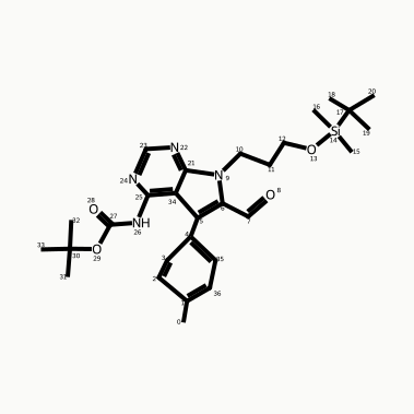 Cc1ccc(-c2c(C=O)n(CCCO[Si](C)(C)C(C)(C)C)c3ncnc(NC(=O)OC(C)(C)C)c23)cc1